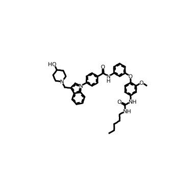 CCCCCNC(=O)Nc1ccc(Oc2cccc(NC(=O)c3ccc(-n4cc(CN5CCC(O)CC5)c5ccccc54)cc3)c2)c(OC)c1